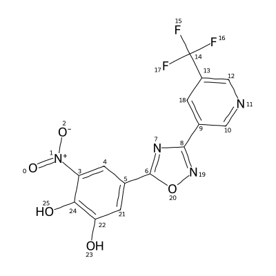 O=[N+]([O-])c1cc(-c2nc(-c3cncc(C(F)(F)F)c3)no2)cc(O)c1O